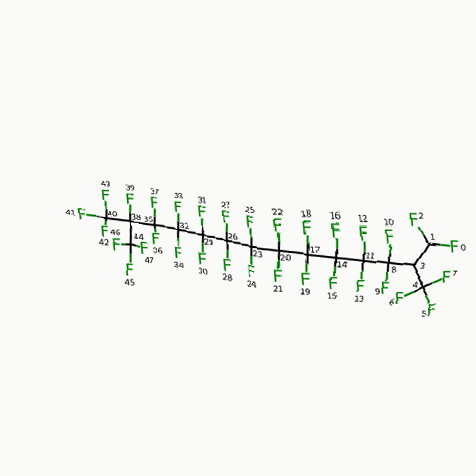 FC(F)C(C(F)(F)F)C(F)(F)C(F)(F)C(F)(F)C(F)(F)C(F)(F)C(F)(F)C(F)(F)C(F)(F)C(F)(F)C(F)(F)C(F)(C(F)(F)F)C(F)(F)F